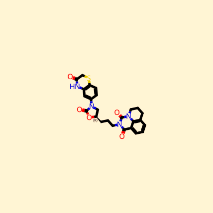 O=C1CSc2ccc(N3C[C@@H](CCCn4c(=O)c5cccc6c5n(c4=O)CCC6)OC3=O)cc2N1